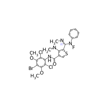 C=Nc1c(C(=O)Nc2c(Cl)c(OC)c(Br)c(OC)c2Cl)csc1/C(=N\C)N(F)c1ccccc1